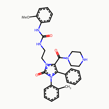 COc1ccccc1NC(=O)NCCn1c(C(=O)N2CCNCC2)c(-c2ccccc2)n(-c2ccccc2C)c1=O